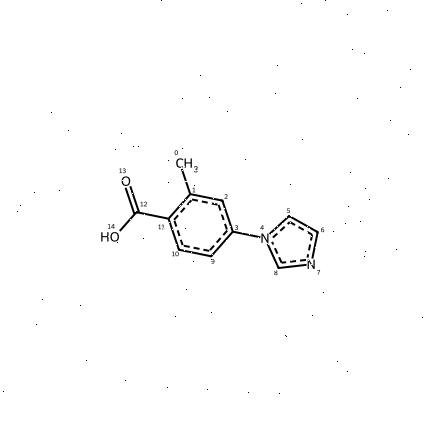 Cc1cc(-n2ccnc2)ccc1C(=O)O